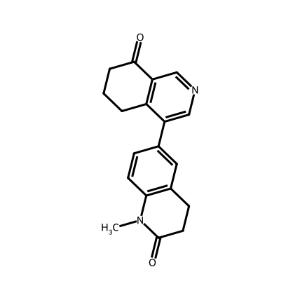 CN1C(=O)CCc2cc(-c3cncc4c3CCCC4=O)ccc21